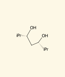 CC(C)[C@H](O)C[C@H](O)C(C)C